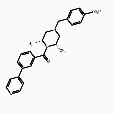 C[C@@H]1CN(Cc2ccc(C(=O)O)cc2)C[C@H](C)N1C(=O)c1cccc(-c2ccncc2)c1